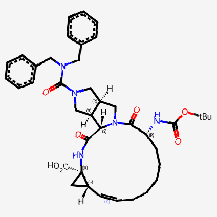 CC(C)(C)OC(=O)N[C@@H]1CCCCC/C=C\[C@@H]2C[C@@]2(C(=O)O)NC(=O)[C@@H]2[C@H]3CN(C(=O)N(Cc4ccccc4)Cc4ccccc4)C[C@H]3CN2C1=O